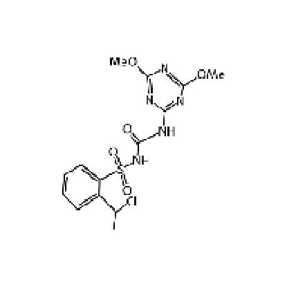 COc1nc(NC(=O)NS(=O)(=O)c2ccccc2C(C)Cl)nc(OC)n1